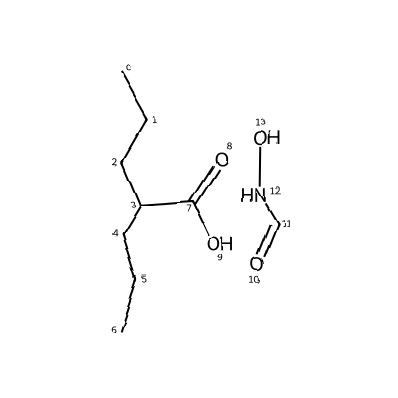 CCCC(CCC)C(=O)O.O=CNO